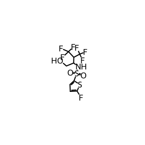 O=S(=O)(NC(CO)C(C(F)(F)F)C(F)(F)F)c1ccc(F)s1